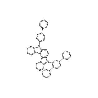 c1ccc(-c2ccc(-n3c4ccccc4c4c5c6ccccc6n(-c6cc(-c7ccccc7)ccc6-c6ccccc6)c5ccc43)cc2)cc1